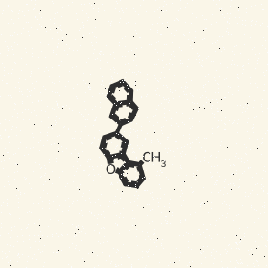 Cc1cccc2oc3ccc(-c4ccc5ccccc5c4)cc3c12